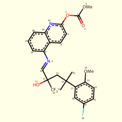 COC(=O)Oc1ccc2c(N=CC(O)(CC(C)(C)c3cc(F)ccc3OC)C(F)(F)F)cccc2n1